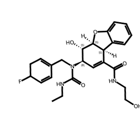 CCNC(=O)N(CC1=CCC(F)C=C1)[C@@H]1C=C(C(=O)NCCO)[C@@H]2c3ccccc3O[C@@H]2[C@H]1O